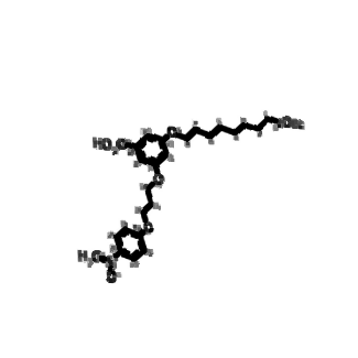 CCCCCCCCCCCCCCCCCCOc1cc(OCCCOc2ccc([S+](C)[O-])cc2)cc(C(=O)O)c1